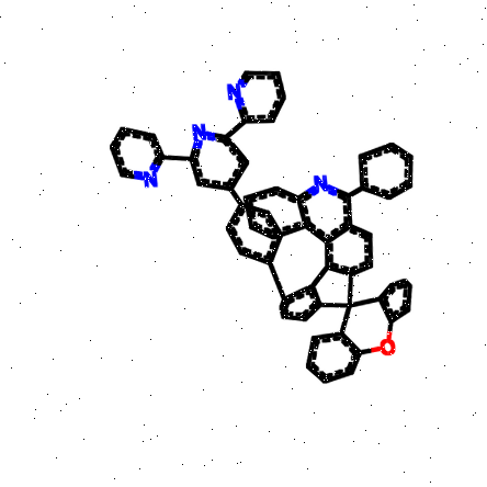 c1ccc(-c2nc3ccccc3c3c4c(ccc23)C2(c3ccccc3Oc3ccccc32)c2cccc(-c3ccc(-c5cc(-c6ccccn6)nc(-c6ccccn6)c5)cc3)c2-4)cc1